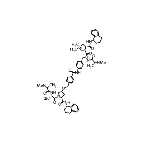 CN[C@@H](C)C(=O)N[C@@H](Cc1ccc(NC(=O)c2ccc(CO[C@H]3C[C@@H](C(=O)N[C@@H]4CCCc5ccccc54)N(C(=O)[C@@H](NC(=O)[C@H](C)NC)C(C)(C)C)C3)cc2)cc1)C(=O)N1C[Si](C)(C)C[C@H]1C(=O)N[C@@H]1CCCc2ccccc21